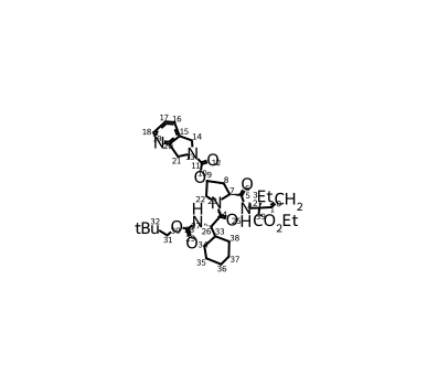 C=C[C@@](CC)(NC(=O)[C@@H]1C[C@@H](OC(=O)N2Cc3cccnc3C2)CN1C(=O)[C@@H](NC(=O)OCC(C)(C)C)C1CCCCC1)C(=O)OCC